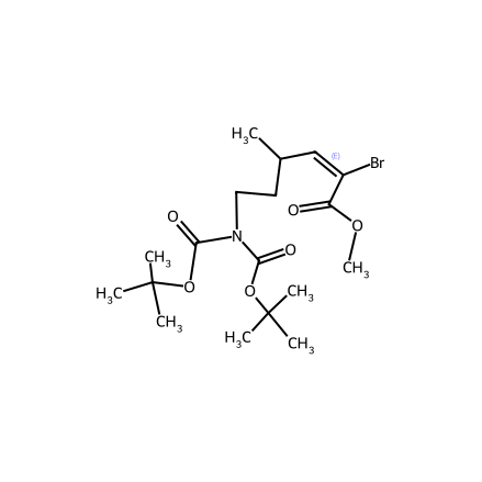 COC(=O)/C(Br)=C\C(C)CCN(C(=O)OC(C)(C)C)C(=O)OC(C)(C)C